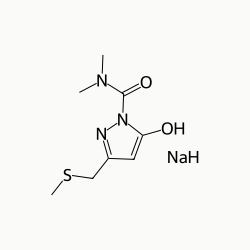 CSCc1cc(O)n(C(=O)N(C)C)n1.[NaH]